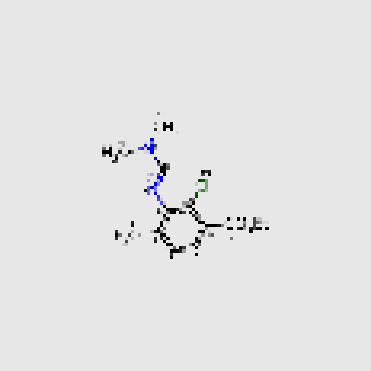 CCOC(=O)c1ccc(C(F)(F)F)c(/N=C/N(C)C)c1Cl